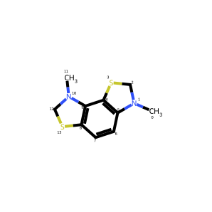 CN1CSc2c1ccc1c2N(C)CS1